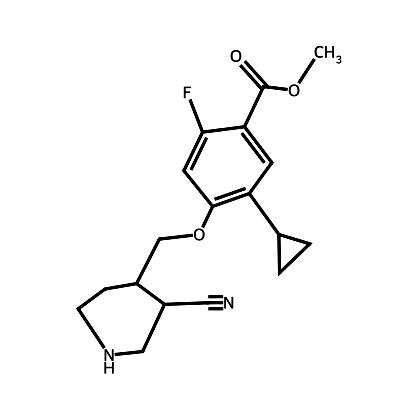 COC(=O)c1cc(C2CC2)c(OCC2CCNCC2C#N)cc1F